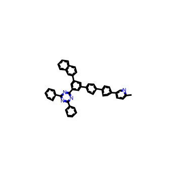 Cc1ccc(-c2ccc(-c3ccc(-c4cc(-c5ccc6ccccc6c5)cc(-c5nc(-c6ccccc6)nc(-c6ccccc6)n5)c4)cc3)cc2)cn1